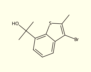 Cc1sc2c(C(C)(C)O)cccc2c1Br